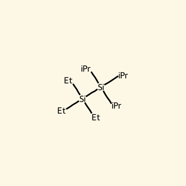 CC[Si](CC)(CC)[Si](C(C)C)(C(C)C)C(C)C